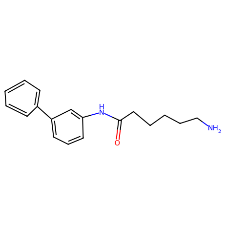 NCCCCCC(=O)Nc1cccc(-c2ccccc2)c1